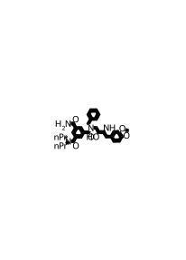 CCCN(CCC)C(=O)c1cc(C(N)=O)cc(C(=O)N(Cc2ccccc2)C[C@@H](O)[C@@H](N)Cc2ccc3c(c2)OCO3)c1